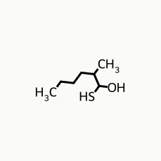 CCCCC(C)C(O)S